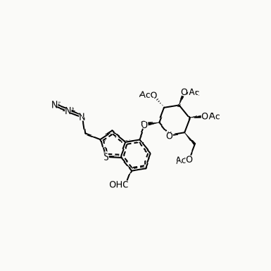 CC(=O)OC[C@H]1O[C@@H](Oc2ccc(C=O)c3sc(CN=[N+]=[N-])cc23)[C@H](OC(C)=O)[C@@H](OC(C)=O)[C@H]1OC(C)=O